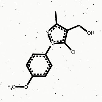 Cc1nn(-c2ccc(OC(F)(F)F)cc2)c(Cl)c1CO